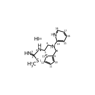 CSC(=N)NCCN(Cc1cccs1)c1ccccn1.I